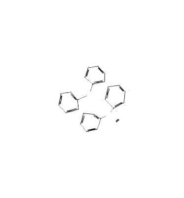 C=O.c1ccc(Oc2ccccc2)cc1.c1ccc(Oc2ccccc2)cc1